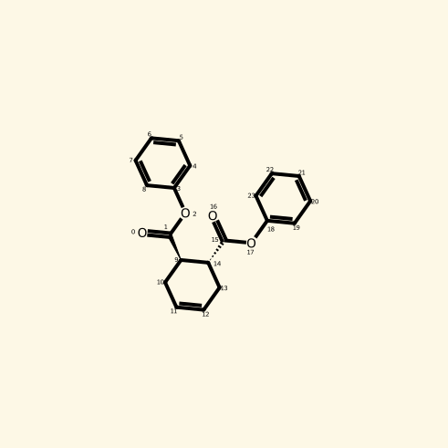 O=C(Oc1ccccc1)[C@@H]1CC=CC[C@H]1C(=O)Oc1ccccc1